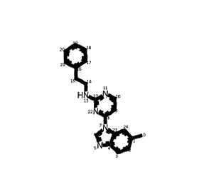 Cc1ccc2ncn(-c3ccnc(NCCc4ccccc4)n3)c2c1